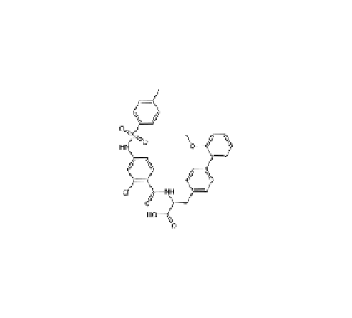 COc1ccccc1-c1ccc(C[C@H](NC(=O)c2ccc(NS(=O)(=O)c3ccc(C)cc3)cc2Cl)C(=O)O)cc1